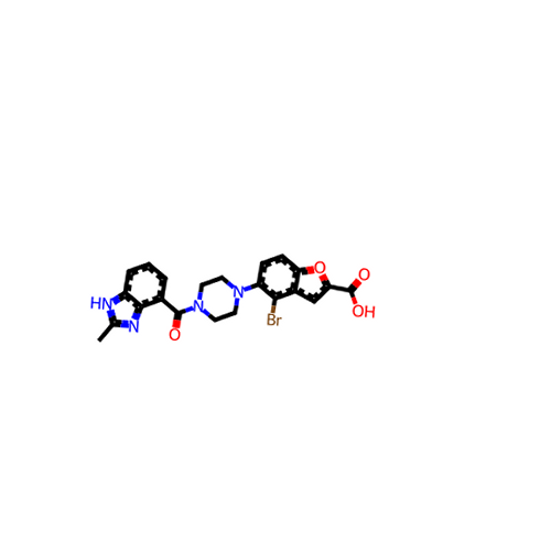 Cc1nc2c(C(=O)N3CCN(c4ccc5oc(C(=O)O)cc5c4Br)CC3)cccc2[nH]1